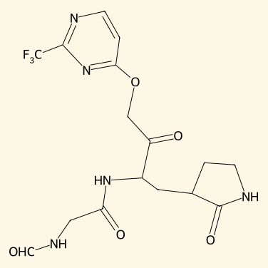 O=CNCC(=O)NC(CC1CCNC1=O)C(=O)COc1ccnc(C(F)(F)F)n1